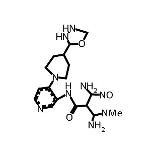 CNC(N)C(C(=O)Nc1cnccc1N1CCC(C2NNCO2)CC1)C(N)N=O